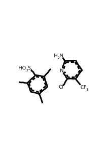 Cc1cc(C)c(S(=O)(=O)O)c(C)c1.Nc1ccc(C(F)(F)F)c(Cl)n1